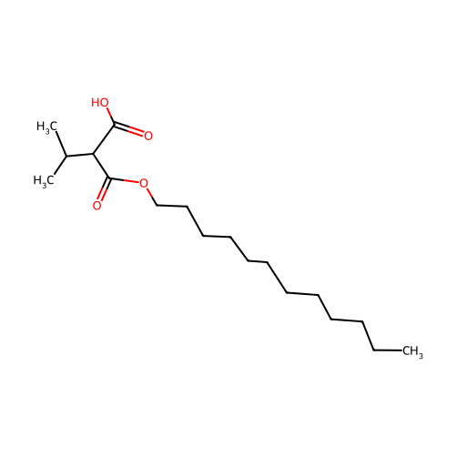 CCCCCCCCCCCCOC(=O)C(C(=O)O)C(C)C